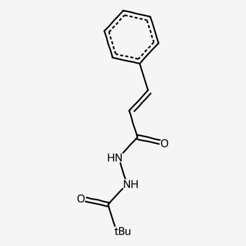 CC(C)(C)C(=O)NNC(=O)C=Cc1ccccc1